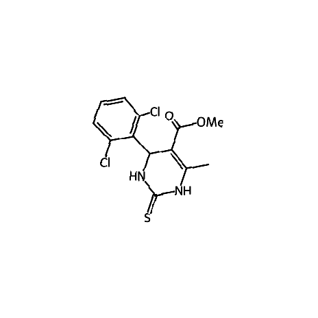 COC(=O)C1=C(C)NC(=S)NC1c1c(Cl)cccc1Cl